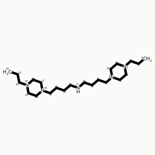 CCCN1CCN(CCCCNCCCCN2CCN(CCC)CC2)CC1